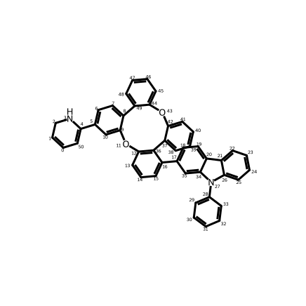 C1=CCNC(c2ccc3c(c2)Oc2cccc(-c4ccc5c6ccccc6n(-c6ccccc6)c5c4)c2-c2ccccc2Oc2ccccc2-3)=C1